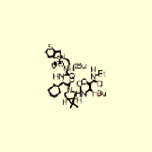 CCCCC(NC(=O)[C@@H]1[C@@H]2[C@H](CN1C(=O)[C@@H](NC(=O)N[C@H](CN1CC3=C(CCS3)S1(=O)=O)C(C)(C)C)C1CCCCC1)C2(C)C)C(=O)C(=O)NCC